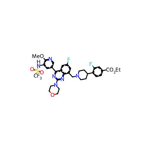 CCOC(=O)c1ccc(C2CCN(Cc3cc(F)cc4c(-c5cnc(OC)c(NS(=O)(=O)C(F)(F)F)c5)nc(N5CCOCC5)nc34)CC2)c(F)c1